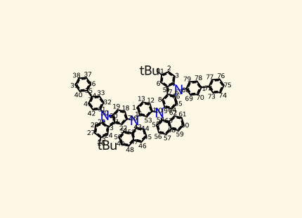 CC(C)(C)c1ccc2c(c1)c1cc(N(c3cccc(N(c4ccc5c(c4)c4cc(C(C)(C)C)ccc4n5-c4ccc(-c5ccccc5)cc4)c4cccc5ccccc45)c3)c3cccc4ccccc34)ccc1n2-c1ccc(-c2ccccc2)cc1